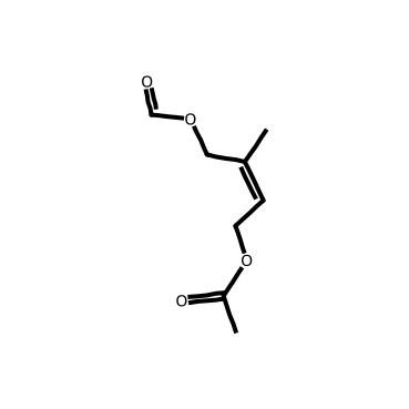 CC(=O)OCC=C(C)COC=O